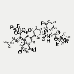 O=C(O)c1ccc(S(=O)(=O)NC(C(=O)O[C@H]2CN3CCC2CC3)c2cccc(F)c2)cc1[C@@H](Cc1c(Cl)c[n+]([O-])cc1Cl)c1ccc(OC(F)F)c(OCC2CC2)c1